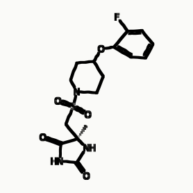 C[C@]1(CS(=O)(=O)N2CCC(Oc3ccccc3F)CC2)NC(=O)NC1=O